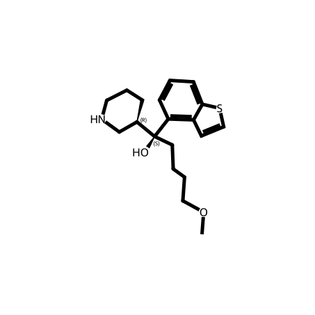 COCCCC[C@@](O)(c1cccc2sccc12)[C@@H]1CCCNC1